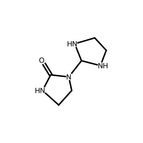 O=C1NCCN1C1NCCN1